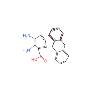 Nc1cccc(C(=O)O)c1N.c1ccc2c(c1)C1c3ccccc3C2c2ccccc21